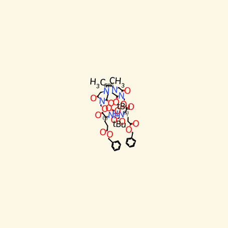 C[C@H]([C@H](C)N1CC(=O)N(COC(=O)[C@H](CCC(=O)OCc2ccccc2)NC(=O)OC(C)(C)C)C(=O)C1)N1CC(=O)N(COC(=O)[C@H](CCC(=O)OCc2ccccc2)NC(=O)OC(C)(C)C)C(=O)C1